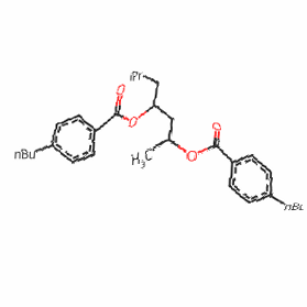 CCCCc1ccc(C(=O)OC(C)CC(CC(C)C)OC(=O)c2ccc(CCCC)cc2)cc1